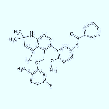 COc1ccc(OC(=O)c2ccccc2)cc1-c1ccc2c(c1COc1cc(F)ccc1C)C(C)=CC(C)(C)N2